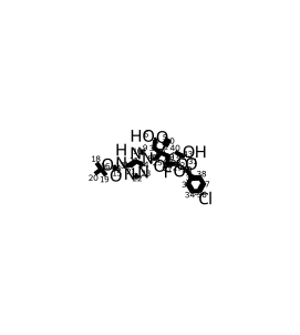 C#C[C@]1(CC(=O)O)[C@H](n2cnc3c(NC(=O)OC(C)(C)C)ncnc32)O[C@@](F)(COC(=O)c2ccc(Cl)cc2)[C@H]1CC(=O)O